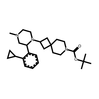 CN1CCN(C2CC3(CCN(C(=O)OC(C)(C)C)CC3)C2)C(c2ccccc2C2CC2)C1